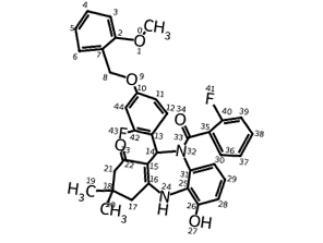 COc1ccccc1COc1ccc(C2C3=C(CC(C)(C)CC3=O)Nc3c(O)cccc3N2C(=O)c2ccccc2F)c(F)c1